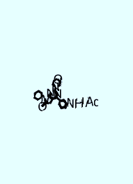 CC(=O)Nc1cccc(-c2nc(N3CCOCC3)nc3c2CC(=O)N3C2CCCCC2)c1